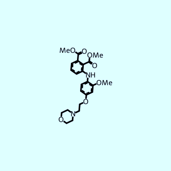 COC(=O)c1cccc(Nc2ccc(OCCN3CCOCC3)cc2OC)c1C(=O)OC